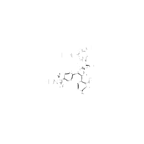 C[C@@H]1CN(C(=O)c2nc(-c3ccc(F)cc3F)c(-c3ccc(S(N)(=O)=O)cc3)s2)C[C@H](C)O1